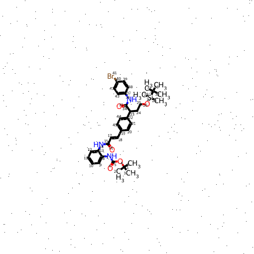 CC(C)(C)OC(=O)Nc1ccccc1NC(=O)C=Cc1ccc(C(CCO[Si](C)(C)C(C)(C)C)C(=O)Nc2ccc(Br)cc2)cc1